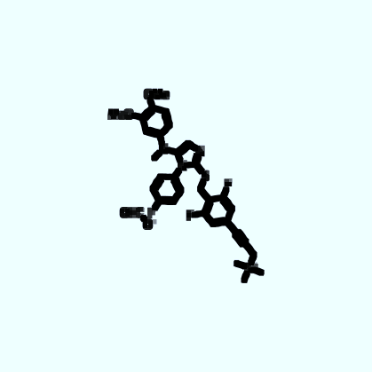 COc1ccc(N(C)c2cnc(SCc3c(F)cc(C#CC[N+](C)(C)C)cc3F)n2-c2ccc(F)cc2)cc1OC.O=C[O-]